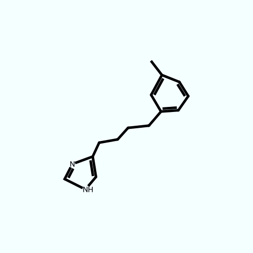 Cc1cccc(CCCCc2c[nH]cn2)c1